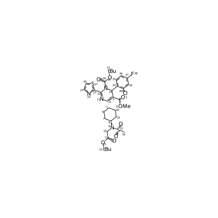 COC(=O)C1=C([C@H]2CC[C@H](N(CC(=O)OC(C)(C)C)S(C)(=O)=O)CC2)N=C(c2nccs2)N(C(=O)OC(C)(C)C)C1c1ccc(F)cc1Cl